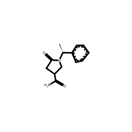 C[C@H](c1ccccc1)N1CC(C(N)=O)CC1=O